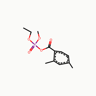 CCOP(=O)(OC)OC(=O)c1ccc(C)cc1C